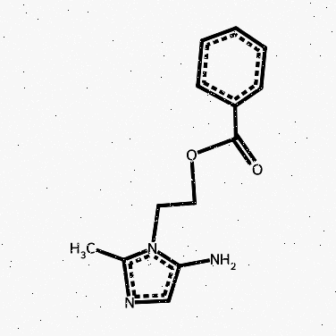 Cc1ncc(N)n1CCOC(=O)c1ccccc1